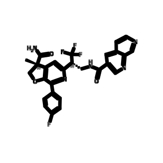 C[C@]1(C(N)=O)COc2c1cc([C@@H](CNC(=O)c1cnc3cnccc3c1)C(F)(F)F)nc2-c1ccc(F)cc1